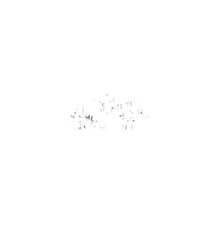 C#C[C@@]1(F)[C@H](O)[C@@H](COP(=O)(O)OP(=O)(O)OP(=O)(O)O)O[C@H]1n1cnc2c(N(C)C3CC3)nc(N)nc21